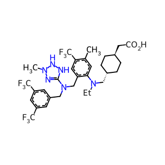 CCN(C[C@H]1CC[C@H](CC(=O)O)CC1)c1cc(C)c(C(F)(F)F)cc1CN(Cc1cc(C(F)(F)F)cc(C(F)(F)F)c1)C1=NN(C)NN1